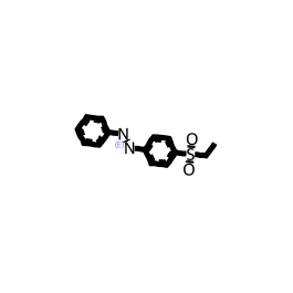 CCS(=O)(=O)c1ccc(/N=N/c2ccccc2)cc1